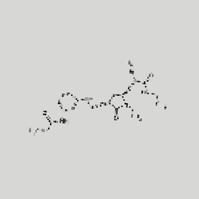 C=CC(=O)Nc1cccc(NC=C=c2sc(=C=C(C#N)C(=O)NCC)n(CC)c2=O)c1